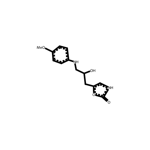 COc1ccc(NCC(O)Cc2c[nH]c(=O)o2)cc1